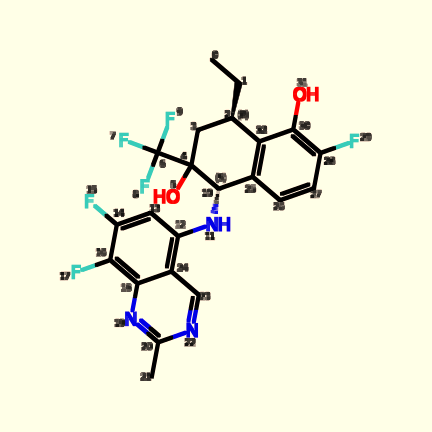 CC[C@@H]1CC(O)(C(F)(F)F)[C@@H](Nc2cc(F)c(F)c3nc(C)ncc23)c2ccc(F)c(O)c21